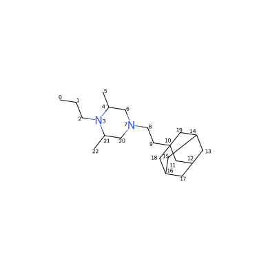 CCCN1C(C)CN(CCC23CC4CC(CC(C4)C2)C3)CC1C